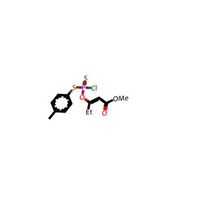 CCC(=CC(=O)OC)OP(=S)(Cl)Sc1ccc(C)cc1